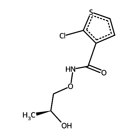 C[C@H](O)CONC(=O)c1ccsc1Cl